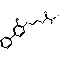 CCNC(=O)OCCOc1ccc(-c2ccccc2)cc1S